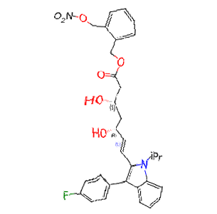 CC(C)n1c(/C=C/[C@H](O)C[C@H](O)CC(=O)OCc2ccccc2CO[N+](=O)[O-])c(-c2ccc(F)cc2)c2ccccc21